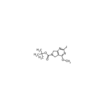 COc1nc(I)nc2c1CN(C(=O)OC(C)(C)C)C2